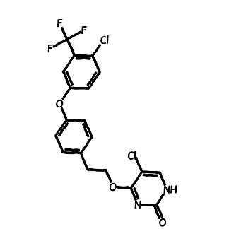 O=c1nc(OCCc2ccc(Oc3ccc(Cl)c(C(F)(F)F)c3)cc2)c(Cl)c[nH]1